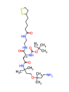 CC(C)(CCOC(C)(C)CCN)NC(=O)C[C@H](NC(=O)OC(C)(C)C)C(=O)NCCNC(=O)CCCCC1CCSS1